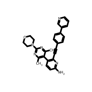 Cc1nc(N2CCOCC2)nc(C)c1-c1ccc(N)nc1C#Cc1ccc(-c2cccnc2)cc1